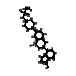 C[C@H]1CN(c2ccnc3c2cnn3C)Cc2ccc(N3CCN(CC(C)(C)N)CC3)cc21